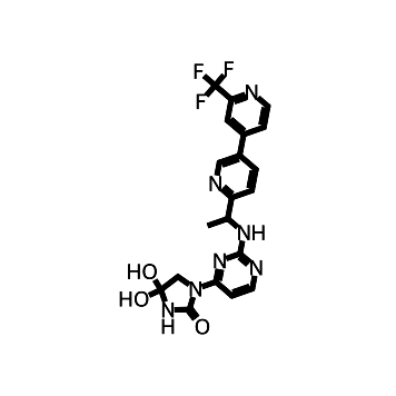 CC(Nc1nccc(N2CC(O)(O)NC2=O)n1)c1ccc(-c2ccnc(C(F)(F)F)c2)cn1